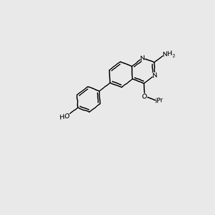 CC(C)Oc1nc(N)nc2ccc(-c3ccc(O)cc3)cc12